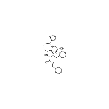 O=C(O)CN1C(=O)C(N[C@@H](CCc2ccccc2)C(=O)OCc2ccccc2)CSCC1c1cccs1